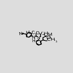 CCC(CC(=O)O)c1ccccc1N1C[C@@H](C)O[C@@H](C)C1Nc1ccc(C#N)cc1